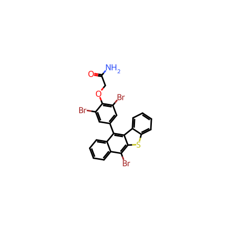 NC(=O)COc1c(Br)cc(-c2c3ccccc3c(Br)c3sc4ccccc4c23)cc1Br